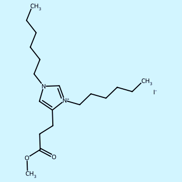 CCCCCCn1cc(CCC(=O)OC)[n+](CCCCCC)c1.[I-]